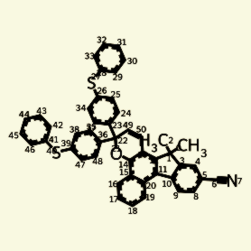 CC1(C)c2cc(C#N)ccc2-c2c1c1c(c3ccccc23)OC(c2ccc(Sc3ccccc3)cc2)(c2ccc(Sc3ccccc3)cc2)C=C1